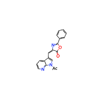 CC(=O)n1cc(C=C2N=C(c3ccccc3)OC2=O)c2cccnc21